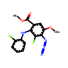 CCCCOC(=O)c1cc(OCCCC)c(N=[N+]=[N-])c(F)c1Nc1ccccc1F